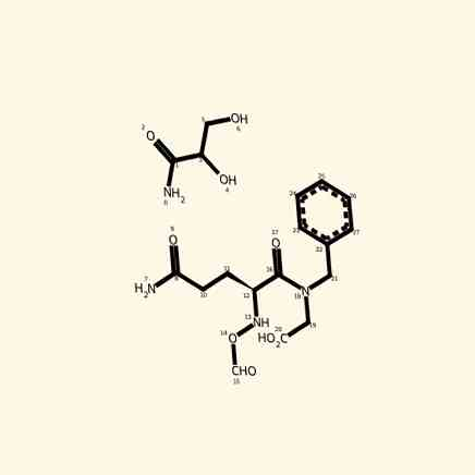 NC(=O)C(O)CO.NC(=O)CC[C@H](NOC=O)C(=O)N(CC(=O)O)Cc1ccccc1